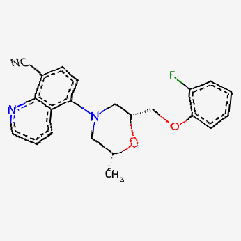 C[C@@H]1CN(c2ccc(C#N)c3ncccc23)C[C@H](COc2ccccc2F)O1